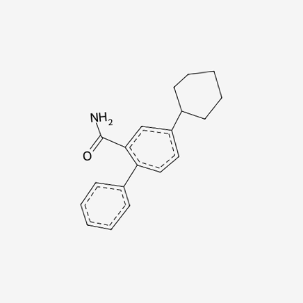 NC(=O)c1cc(C2CCCCC2)ccc1-c1ccccc1